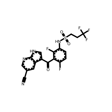 N#Cc1cnc2[nH]cc(C(=O)c3c(F)ccc(NS(=O)(=O)CCC(F)(F)F)c3F)c2c1